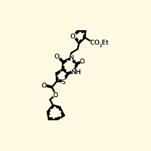 CCOC(=O)c1ccoc1CCn1c(=O)[nH]c2sc(C(=O)OCc3ccccc3)cc2c1=O